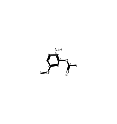 COc1cccc(OC(C)=O)c1.[NaH]